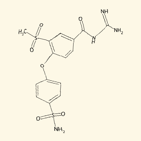 CS(=O)(=O)c1cc(C(=O)NC(=N)N)ccc1Oc1ccc(S(N)(=O)=O)cc1